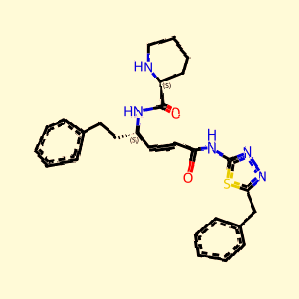 O=C(C=C[C@H](CCc1ccccc1)NC(=O)[C@@H]1CCCCN1)Nc1nnc(Cc2ccccc2)s1